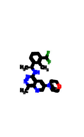 Cc1c(C(F)F)cccc1[C@@H](C)Nc1nnc(C)c2ncc(N3CC4CCCC3CO4)cc12